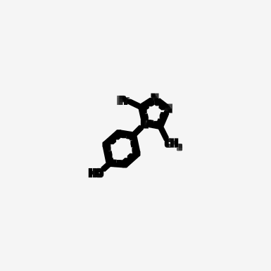 Cc1nnc(C(C)C)n1-c1ccc(O)cc1